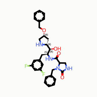 O=C(N[C@@H](Cc1cc(F)cc(F)c1)[C@H](O)[C@H]1C[C@@H](OCc2ccccc2)CN1)C1CNC(=O)N1Cc1ccccc1